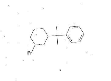 CC(C)C1CCCC(C(C)(C)c2ccccc2)C1